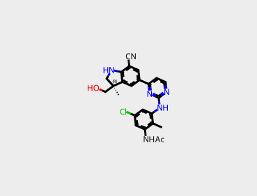 CC(=O)Nc1cc(Cl)cc(Nc2nccc(-c3cc(C#N)c4c(c3)[C@@](C)(CO)CN4)n2)c1C